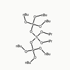 CCCCO[Si](OCCCC)(OCCCC)[O][Ti]([O]C(C)C)([O]C(C)C)[O][Si](OCCCC)(OCCCC)OCCCC